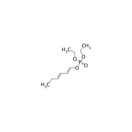 CCC=CC=COP(=O)(OCC)OCC